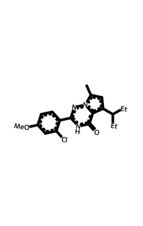 CCC(CC)c1cc(C)n2nc(-c3ccc(OC)cc3Cl)[nH]c(=O)c12